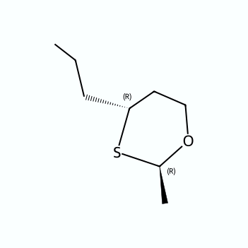 CCC[C@@H]1CCO[C@@H](C)S1